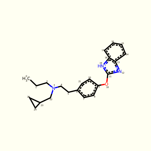 CCCN(CCc1ccc(Oc2nc3ccccc3[nH]2)cc1)CC1CC1